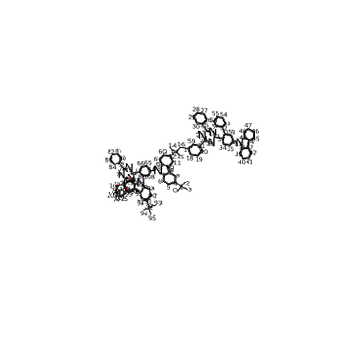 CC(C)(C)c1ccc2c(c1)c1cc(C(C)(C)Cc3cccc(-c4nc(-c5ccccc5)nc(-c5ccc(-n6c7ccccc7c7ccccc76)cc5-c5ccccc5)n4)c3)ccc1n2-c1ccc(-c2nc(-c3ccccc3)nc(-c3ccccc3)n2)c(-n2c3ccc(C(C)(C)C)cc3c3cc(C(C)(C)C)ccc32)c1